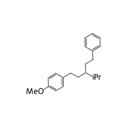 COc1ccc(CCC(CCc2ccccc2)C(C)C)cc1